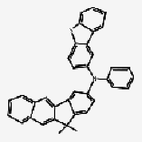 CC1(C)c2ccc(N(c3ccccc3)c3ccc4sc5ccccc5c4c3)cc2-c2cc3ccccc3cc21